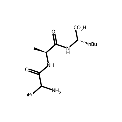 CCCC[C@H](NC(=O)[C@H](C)NC(=O)C(N)C(C)C)C(=O)O